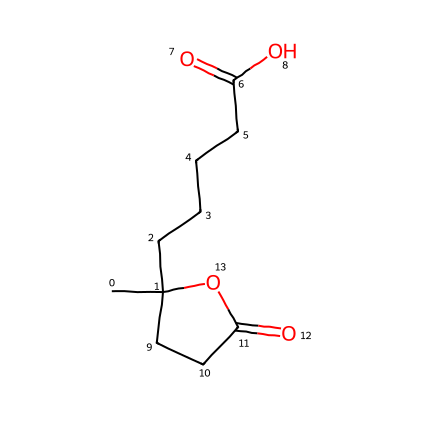 CC1(CCCCC(=O)O)CCC(=O)O1